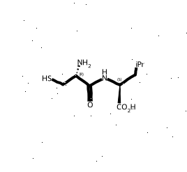 CC(C)C[C@H](NC(=O)[C@@H](N)CS)C(=O)O